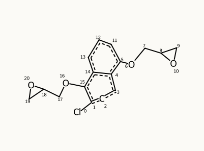 Clc1ccc2c(OCC3CO3)cccc2c1OCC1CO1